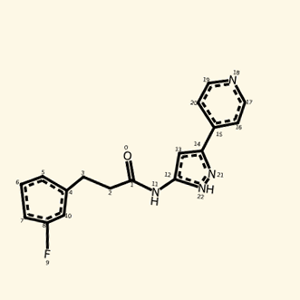 O=C(CCc1cccc(F)c1)Nc1cc(-c2ccncc2)n[nH]1